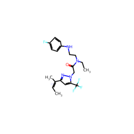 C/C=C(/C)c1cc(C(F)(F)F)n(CC(=O)N(CC)CCNc2ccc(F)cc2)n1